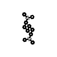 C1=CC(c2nc(-c3ccccc3)nc(-c3ccc(-c4cccc(-c5ccccc5-c5ccccc5-c5cccc(-c6ccc(-c7nc(-c8ccccc8)nc(-c8ccccc8)n7)cc6)c5)c4)cc3)n2)=CCC1